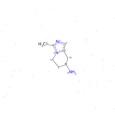 Cc1ncc2n1CCC(N)C2